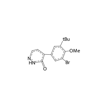 COc1c(Br)cc(-c2ccn[nH]c2=O)cc1C(C)(C)C